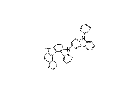 CC1(C)c2ccc3ccccc3c2-c2c1ccc1c2c2ccccc2n1-c1ccc2c(c1)c1ccccc1n2-c1ccccc1